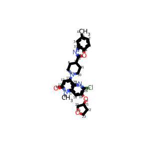 Cc1ccc2oc(C3CCN(c4cc(=O)n(C)c5cc(OC6CCOC6)c(Cl)nc45)CC3)nc2c1